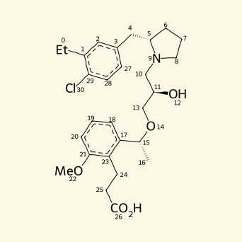 CCc1cc(C[C@@H]2CCCN2C[C@@H](O)CO[C@H](C)c2cccc(OC)c2CCC(=O)O)ccc1Cl